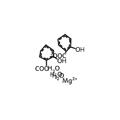 O.O.O.O=C([O-])c1ccccc1O.O=C([O-])c1ccccc1O.[Mg+2]